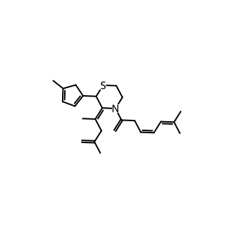 C=C(C)C/C(C)=C1/C(C2=CC=C(C)C2)SCCN1C(=C)C/C=C\C=C(C)C